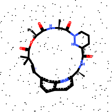 CC(C)[C@@H]1OC(=O)C(C)(C)/C=C/c2ccc3ccc(nc3c2)[C@@H](C)NC(=O)[C@@H]2CCCN(N2)C(=O)[C@H](C)NC1=O